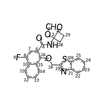 O=COC1(NC(=O)c2cc(F)c3ccccc3c2OCc2nc3ccccc3s2)CCC1